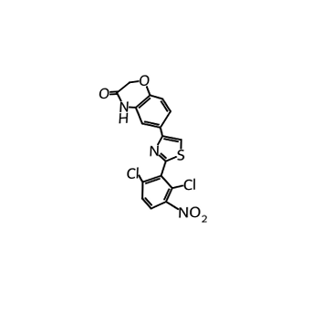 O=C1COc2ccc(-c3csc(-c4c(Cl)ccc([N+](=O)[O-])c4Cl)n3)cc2N1